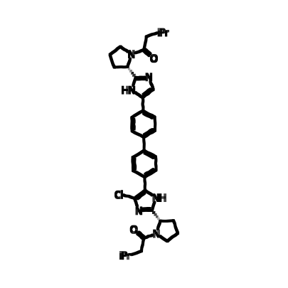 CC(C)CC(=O)N1CCC[C@H]1c1ncc(-c2ccc(-c3ccc(-c4[nH]c([C@@H]5CCCN5C(=O)CC(C)C)nc4Cl)cc3)cc2)[nH]1